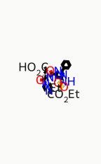 CCOC(=O)N1CCN(C(=O)[C@H](CCC(=O)O)NC(=O)c2cc(NS(=O)(=O)CC)nc(-c3ccccc3)n2)CC1